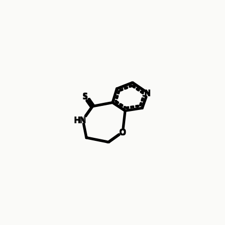 S=C1NCCOc2cnccc21